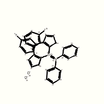 Fc1cccc(C2=[C]([Zr+2]([C]3=C(c4cccc(F)c4)C=CC3)=[Si](c3ccccc3)c3ccccc3)CC=C2)c1.[Cl-].[Cl-]